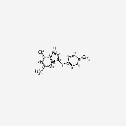 Cc1nc(Cl)c2[nH]cc(CC3=CCC(C)C=C3)c2n1